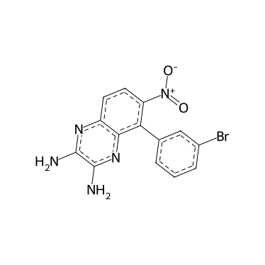 Nc1nc2ccc([N+](=O)[O-])c(-c3cccc(Br)c3)c2nc1N